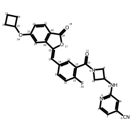 N#Cc1ccnc(NC2CN(C(=O)c3cc(C=C4OC(=O)c5ccc(OC6CCC6)cc54)ccc3F)C2)c1